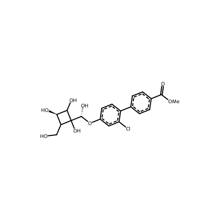 COC(=O)c1ccc(-c2ccc(O[C@@H](O)C3(O)C(O)[C@H](O)C3CO)cc2Cl)cc1